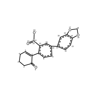 O=C1CCCC=C1c1ccc(-c2ccc3c(c2)OCO3)cc1[N+](=O)[O-]